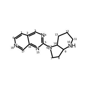 c1cc2cnc(N3CCC4NCCCC43)nc2cn1